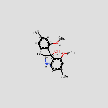 CCCCOc1cc(C(C)(C)C)ccc1C(O)(c1ccc(C(C)(C)C)cc1OCCCC)C(N)C(C)C